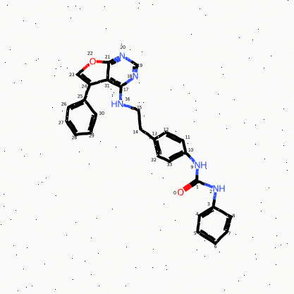 O=C(Nc1ccccc1)Nc1ccc(CCNc2ncnc3occ(-c4ccccc4)c23)cc1